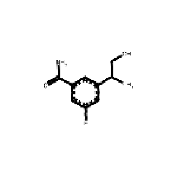 C[C](CO)c1cc(F)cc(C(N)=O)c1